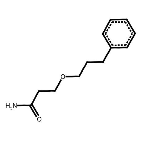 NC(=O)CCOCCCc1ccccc1